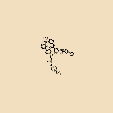 Cc1ccc(NC(=O)c2cncc(NC(=O)c3ccc(-c4cccs4)s3)c2)cc1Nc1nccc(-c2ccc(OCCNCCN3CCN(C)CC3)cc2)n1